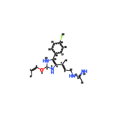 C/C=C\OC1NC(/C(C)=C/CNC(C)=N)=C(c2ccc(F)cc2)N1